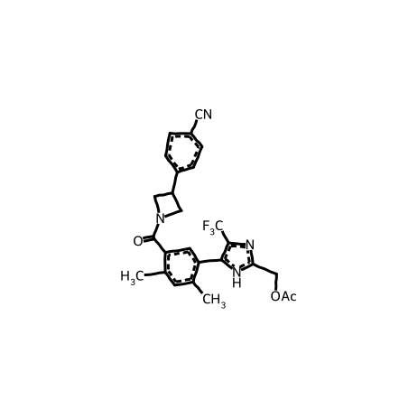 CC(=O)OCc1nc(C(F)(F)F)c(-c2cc(C(=O)N3CC(c4ccc(C#N)cc4)C3)c(C)cc2C)[nH]1